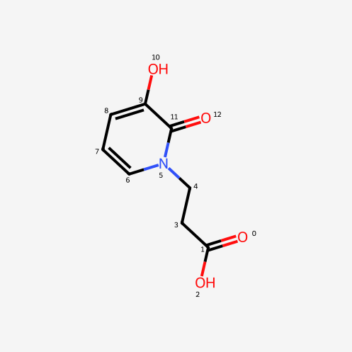 O=C(O)CCn1cccc(O)c1=O